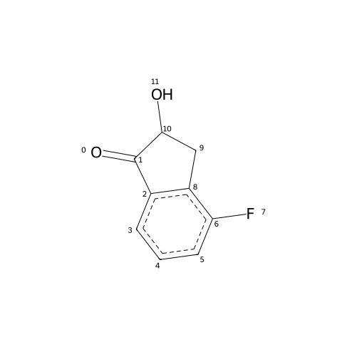 O=C1c2cccc(F)c2CC1O